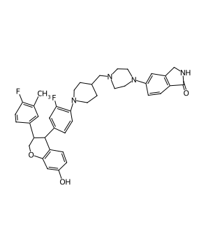 Cc1cc(C2COc3cc(O)ccc3C2c2ccc(N3CCC(CN4CCN(c5ccc6c(c5)CNC6=O)CC4)CC3)c(F)c2)ccc1F